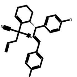 C=CCC(C#N)(C#N)C1=CCCCC1[C@@H](/C=C/c1ccc(Cl)cc1)c1ccc(Cl)cc1